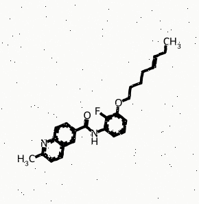 CCC=CCCCCOc1cccc(NC(=O)c2ccc3nc(C)ccc3c2)c1F